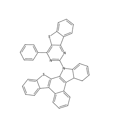 C1=CCC2C(=C1)N(c1nc(-c3ccccc3)c3sc4ccccc4c3n1)c1c2c2ccccc2c2c1sc1ccccc12